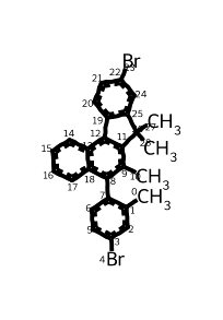 Cc1cc(Br)ccc1-c1c(C)c2c(c3ccccc13)-c1ccc(Br)cc1C2(C)C